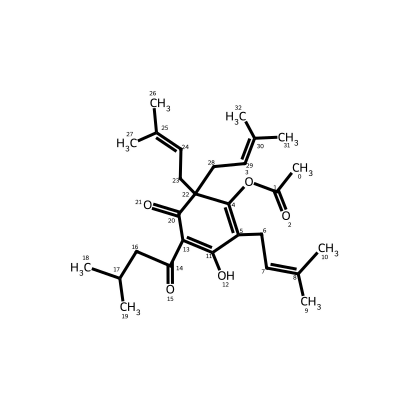 CC(=O)OC1=C(CC=C(C)C)C(O)=C(C(=O)CC(C)C)C(=O)C1(CC=C(C)C)CC=C(C)C